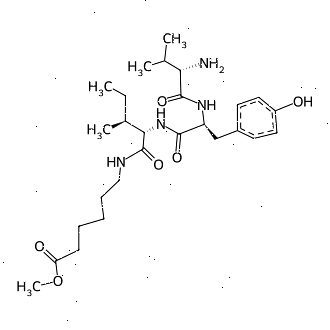 CC[C@H](C)[C@H](NC(=O)[C@H](Cc1ccc(O)cc1)NC(=O)[C@@H](N)C(C)C)C(=O)NCCCCCC(=O)OC